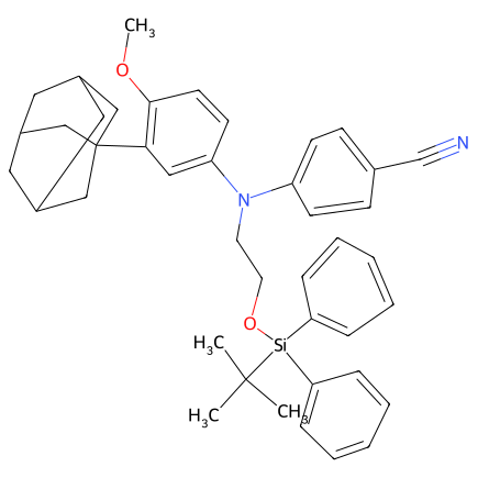 COc1ccc(N(CCO[Si](c2ccccc2)(c2ccccc2)C(C)(C)C)c2ccc(C#N)cc2)cc1C12CC3CC(CC(C3)C1)C2